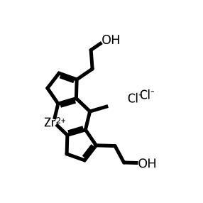 CC1C2=[C](CC=C2CCO)[Zr+2][C]2=C1C(CCO)=CC2.[Cl-].[Cl-]